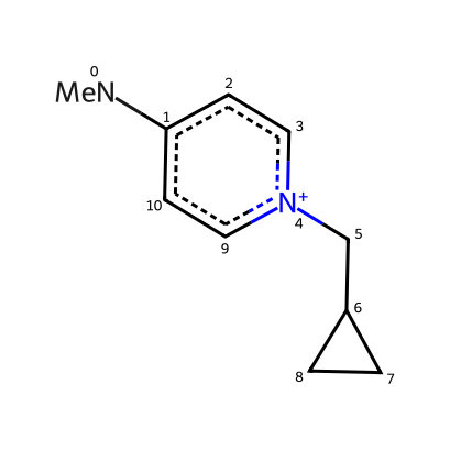 CNc1cc[n+](CC2CC2)cc1